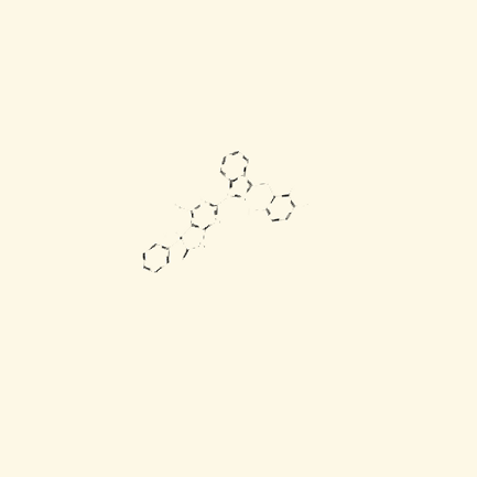 CC1(c2ccccc2)C(=O)Nc2nc(-n3nc(Cc4c(F)ccc(F)c4F)c4ccccc43)nc(N)c21